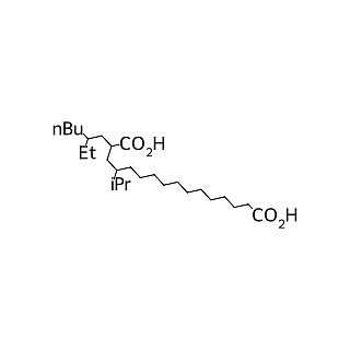 CCCCC(CC)CC(CC(CCCCCCCCCCCC(=O)O)C(C)C)C(=O)O